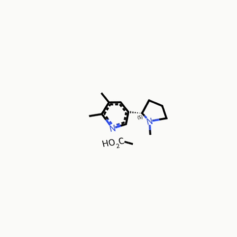 CC(=O)O.Cc1cc([C@@H]2CCCN2C)cnc1C